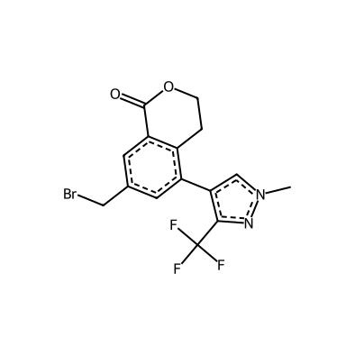 Cn1cc(-c2cc(CBr)cc3c2CCOC3=O)c(C(F)(F)F)n1